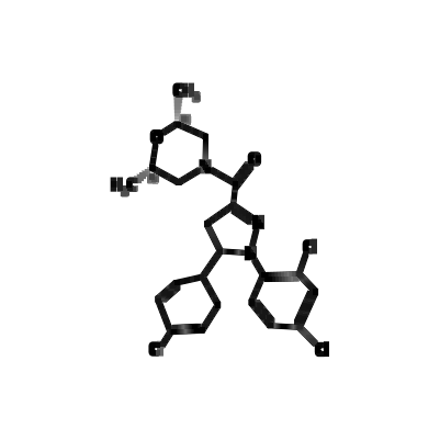 C[C@@H]1CN(C(=O)C2=NN(c3ccc(Cl)cc3Cl)C(C3C=CC(Cl)=CC3)C2)C[C@H](C)O1